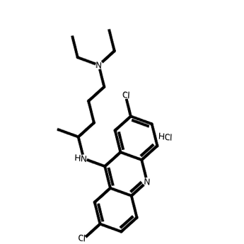 CCN(CC)CCCC(C)Nc1c2cc(Cl)ccc2nc2ccc(Cl)cc12.Cl